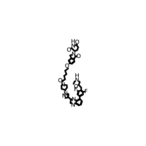 O=C1CCC(N2Cc3cc(OCCCCCC(=O)N4CCC(n5cc(-c6cnc7cccc(-c8cc(F)c(CC9CNCCO9)c(F)c8)c7n6)cn5)CC4)ccc3C2=O)C(=O)N1